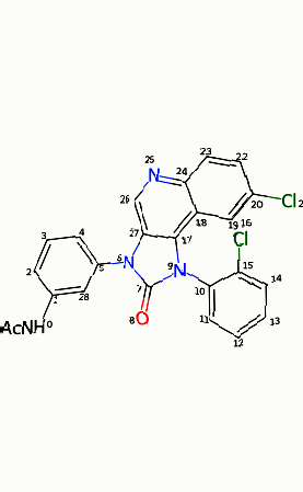 CC(=O)Nc1cccc(-n2c(=O)n(-c3ccccc3Cl)c3c4cc(Cl)ccc4ncc32)c1